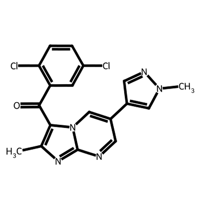 Cc1nc2ncc(-c3cnn(C)c3)cn2c1C(=O)c1cc(Cl)ccc1Cl